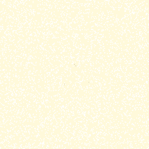 O=Cc1c(NCC(F)F)cc(Br)c(C2OCCO2)c1Br